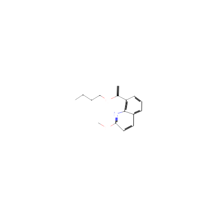 C=C(OCCCC)c1cccc2ccc(OC)nc12